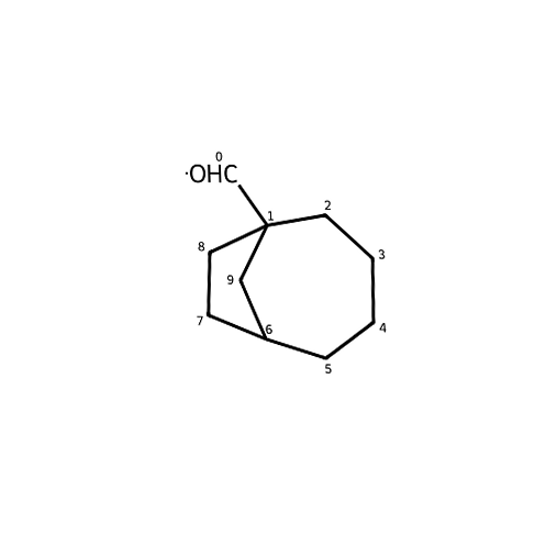 O=[C]C12CCCCC(CC1)C2